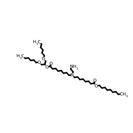 CCCCCCCCCOC(=O)CCCCCCCN(CCN)CCCCCCCC(=O)OC(COCCCCCC)COCCCCCC